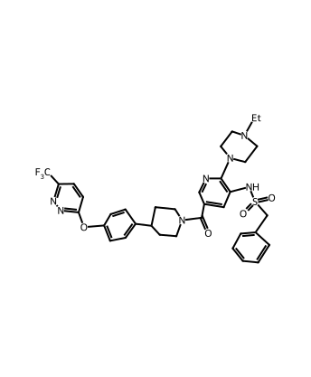 CCN1CCN(c2ncc(C(=O)N3CCC(c4ccc(Oc5ccc(C(F)(F)F)nn5)cc4)CC3)cc2NS(=O)(=O)Cc2ccccc2)CC1